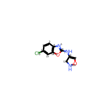 Clc1ccc2nc(NC3=CONC3)oc2c1